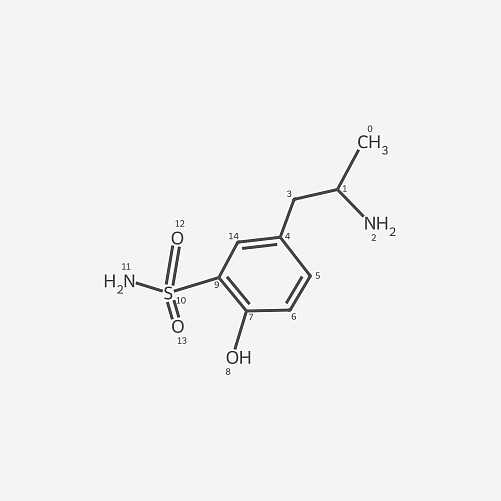 CC(N)Cc1ccc(O)c(S(N)(=O)=O)c1